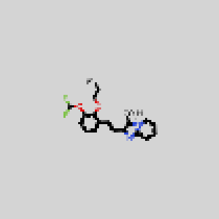 CC(C)CCOc1c(/C=C/c2nc3ccccn3c2C(=O)O)cccc1OC(F)F